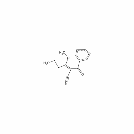 CCCC(OC)=C(C#N)C(=O)c1ccccc1